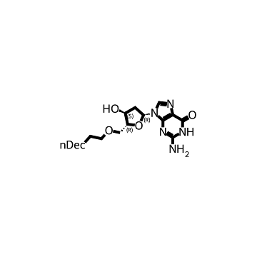 CCCCCCCCCCCCOC[C@H]1O[C@@H](n2cnc3c(=O)[nH]c(N)nc32)C[C@@H]1O